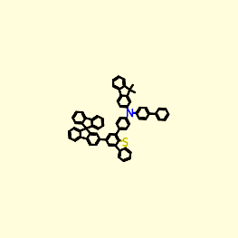 CC1(C)c2ccccc2-c2ccc(N(c3ccc(-c4ccccc4)cc3)c3ccc(-c4cc(-c5ccc6c(c5)C5(c7ccccc7-c7ccccc75)c5ccccc5-6)cc5c4sc4ccccc45)cc3)cc21